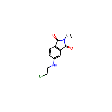 CN1C(=O)c2ccc(NCCBr)cc2C1=O